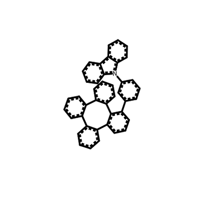 c1cc(-c2cccc3c2-c2ccccc2-c2ccccc2-c2ccccc2-3)cc(-n2c3ccccc3c3ccccc32)c1